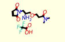 CN(C)C(=O)CCOC[C@@H](N)CN1C(=O)C=CC1=O.O=C(O)C(F)(F)F